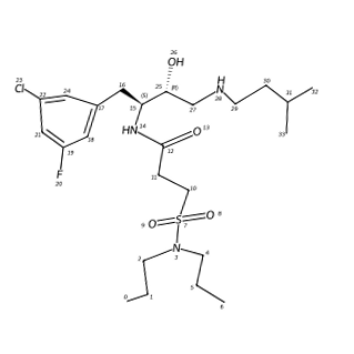 CCCN(CCC)S(=O)(=O)CCC(=O)N[C@@H](Cc1cc(F)cc(Cl)c1)[C@H](O)CNCCC(C)C